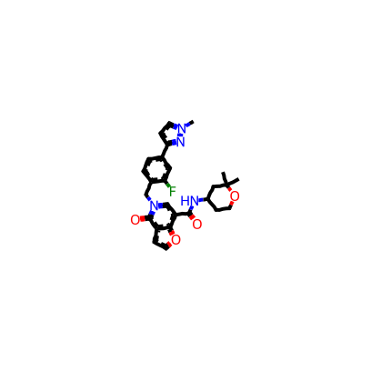 Cn1ccc(-c2ccc(Cn3cc(C(=O)NC4CCOC(C)(C)C4)c4occc4c3=O)c(F)c2)n1